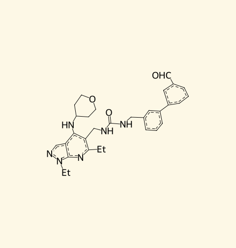 CCc1nc2c(cnn2CC)c(NC2CCOCC2)c1CNC(=O)NCc1cccc(-c2cccc(C=O)c2)c1